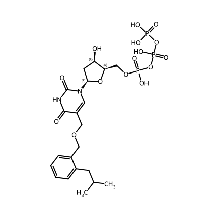 CC(C)Cc1ccccc1COCc1cn([C@H]2C[C@@H](O)[C@@H](COP(=O)(O)OP(=O)(O)OP(=O)(O)O)O2)c(=O)[nH]c1=O